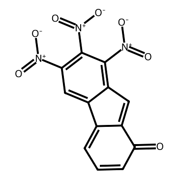 O=C1C=CC=C2C1=Cc1c2cc([N+](=O)[O-])c([N+](=O)[O-])c1[N+](=O)[O-]